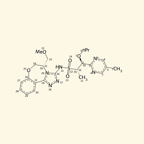 CCCO[C@@H](c1ncc(C)cn1)[C@H](C)S(=O)(=O)Nc1nnc2n1[C@@H](COC)COc1ccccc1-2